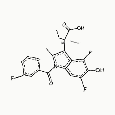 CC[C@@](C)(C(=O)O)c1c(C)n(C(=O)c2cccc(F)c2)c2cc(F)c(O)c(F)c12